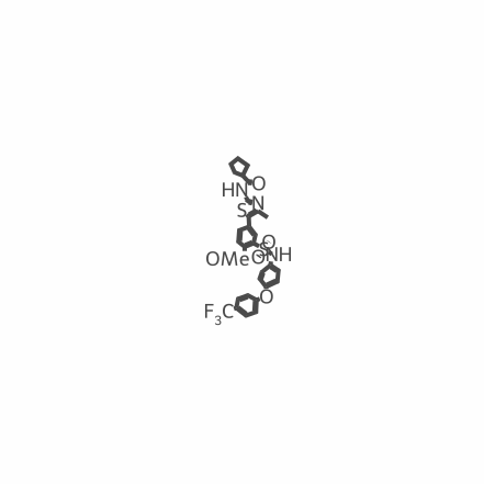 COc1ccc(-c2sc(NC(=O)C3CCCC3)nc2C)cc1S(=O)(=O)Nc1ccc(Oc2ccc(C(F)(F)F)cc2)cc1